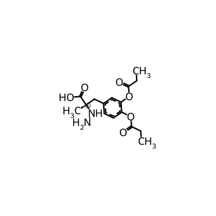 CCC(=O)Oc1ccc(C[C@](C)(NN)C(=O)O)cc1OC(=O)CC